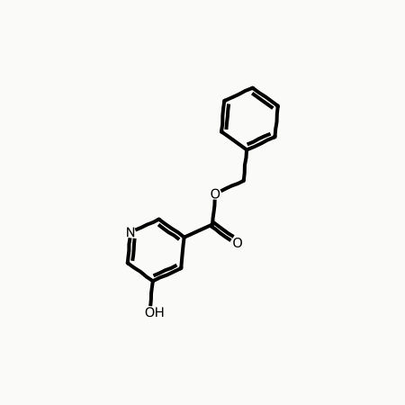 O=C(OCc1ccccc1)c1cncc(O)c1